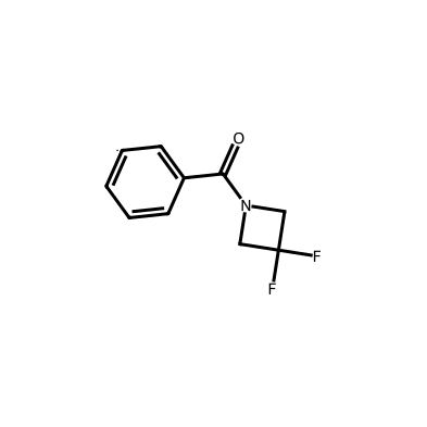 O=C(c1c[c]ccc1)N1CC(F)(F)C1